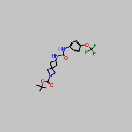 CC(C)(C)OC(=O)N1CC2(CC(NC(=O)Nc3ccc(OC(F)(F)F)cc3)C2)C1